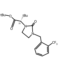 CC(C)(C)OC(=O)[C@@H](N1CCN(Cc2ccccc2C(F)(F)F)C1=O)C(C)(C)C